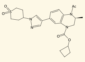 CC(=O)N1c2ccc(-c3cnn(C4CCS(=O)(=O)CC4)c3)cc2N(C(=O)OC2CCC2)C[C@@H]1C